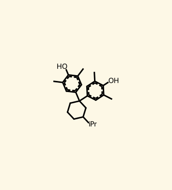 Cc1cc(C2(c3cc(C)c(O)c(C)c3)CCCC(C(C)C)C2)cc(C)c1O